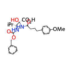 COc1ccc(CCCC(=O)N[C@@](O)(C(=O)O)[C@H](NC(=O)OCc2ccccc2)C(C)C)cc1